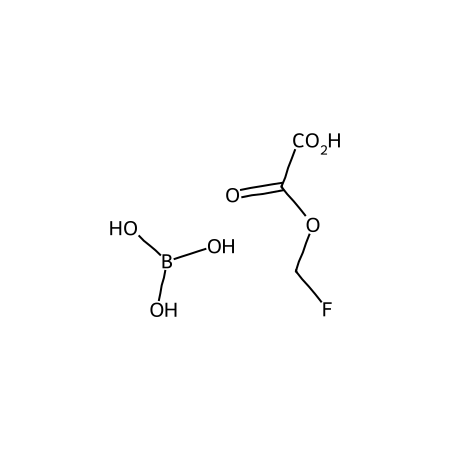 O=C(O)C(=O)OCF.OB(O)O